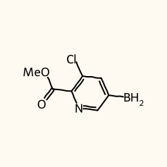 Bc1cnc(C(=O)OC)c(Cl)c1